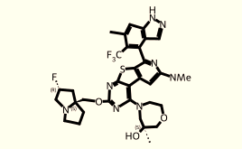 CNc1cc2c(sc3nc(OC[C@@]45CCCN4C[C@H](F)C5)nc(N4CCOC[C@@](C)(O)C4)c32)c(-c2c(C(F)(F)F)c(C)cc3[nH]ncc23)n1